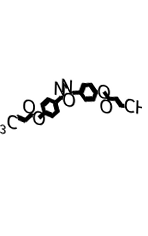 C/C=C/C(=O)Oc1ccc(-c2nnc(-c3ccc(OC(=O)/C=C/C)cc3)o2)cc1